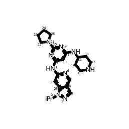 CC(C)n1ncc2cnc(Nc3cc(NC4CCNCC4)nc(N4CCCC4)n3)cc21